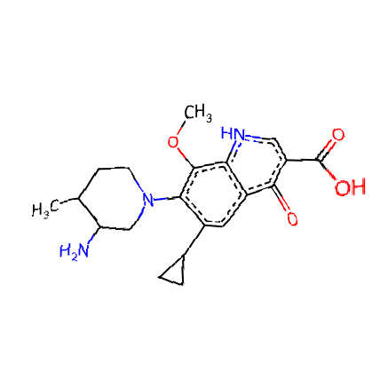 COc1c(N2CCC(C)C(N)C2)c(C2CC2)cc2c(=O)c(C(=O)O)c[nH]c12